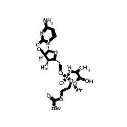 CC(C)OC(O)C(C)NP(=O)(OCCSC(=O)C(C)(C)C)OC[C@H]1O[C@@H](n2ccc(N)nc2=O)[C@](F)(Cl)[C@@H]1O